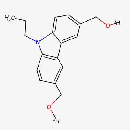 [2H]OCc1ccc2c(c1)c1cc(CO[2H])ccc1n2CCC